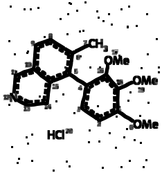 COc1ccc(-c2c(C)ccc3cnccc23)c(OC)c1OC.Cl